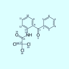 O=C(c1ccccc1)c1ccccc1NC(=O)C(Cl)(Cl)Cl